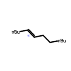 C[CH]CCCC/C=C/CCCC